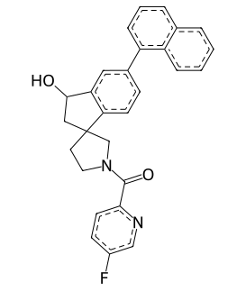 O=C(c1ccc(F)cn1)N1CCC2(CC(O)c3cc(-c4cccc5ccccc45)ccc32)C1